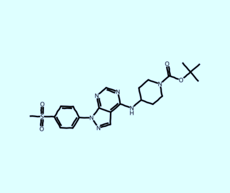 CC(C)(C)OC(=O)N1CCC(Nc2ncnc3c2cnn3-c2ccc(S(C)(=O)=O)cc2)CC1